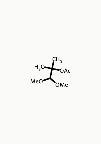 COC(OC)C(C)(C)OC(C)=O